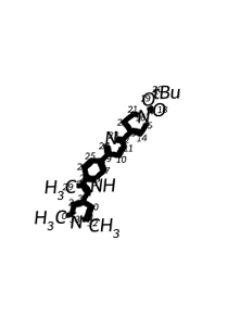 Cc1cc(-c2[nH]c3cc(-c4ccc(C5=CCN(C(=O)OC(C)(C)C)CC5)nc4)ccc3c2C)cc(C)n1